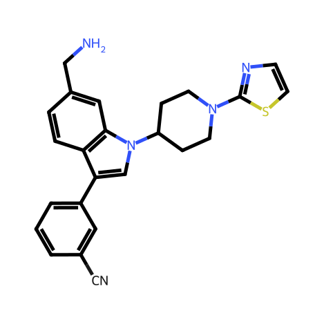 N#Cc1cccc(-c2cn(C3CCN(c4nccs4)CC3)c3cc(CN)ccc23)c1